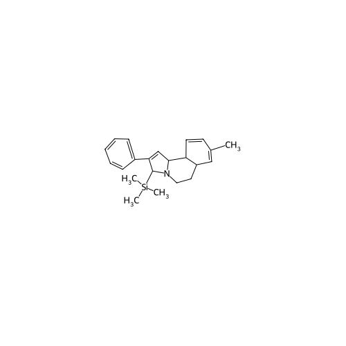 CC1=CC2CCN3C(C=C(c4ccccc4)C3[Si](C)(C)C)C2C=C1